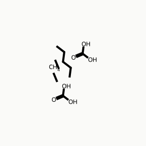 C.CC.CC.CCCCC.O=C(O)O.O=C(O)O